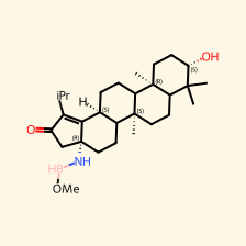 COBN[C@@]12CCC3[C@H](CCC4[C@@]3(C)CCC3C(C)(C)[C@@H](O)CC[C@@]34C)C1=C(C(C)C)C(=O)C2